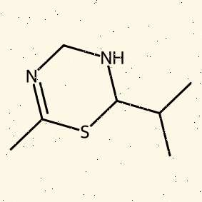 CC1=NCNC(C(C)C)S1